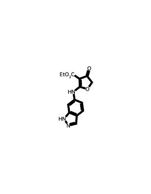 CCOC(=O)C1=C(Nc2ccc3cn[nH]c3c2)OCC1=O